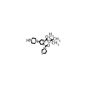 CC(C)(C)OC(=O)N1C[C@@H](N2CCNCC2)C[C@H]1C(=O)N1CCSC1